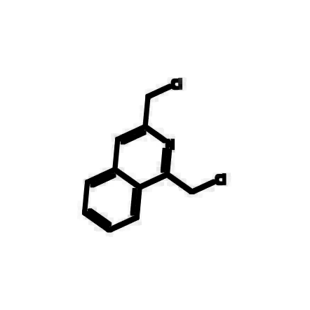 ClCc1cc2ccccc2c(CCl)n1